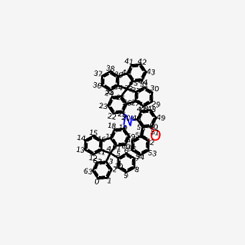 c1ccc(C2(c3ccccc3)c3ccccc3-c3cc(N(c4cccc5c4-c4ccccc4C54c5ccccc5-c5ccccc54)c4cccc5oc6ccccc6c45)ccc32)cc1